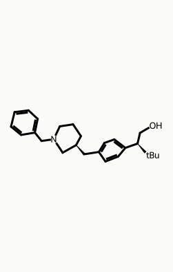 CC(C)(C)[C@H](CO)c1ccc(C[C@@H]2CCCN(Cc3ccccc3)C2)cc1